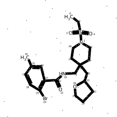 CCS(=O)(=O)N1CCC(CNC(=O)c2cc(C)ccc2Br)(CC2CCCO2)CC1